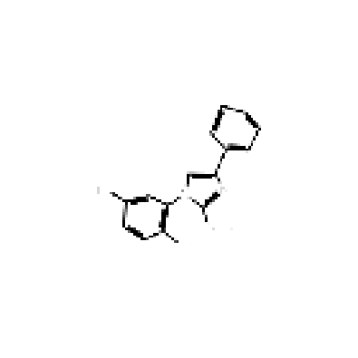 CCOC(=O)c1nc(-c2ccccc2)cn1-c1cc(Br)ccc1C#N